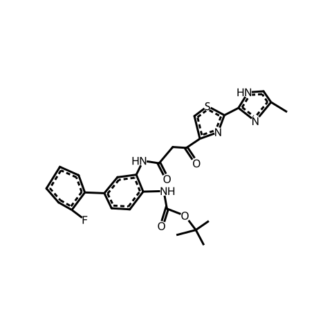 Cc1c[nH]c(-c2nc(C(=O)CC(=O)Nc3cc(-c4ccccc4F)ccc3NC(=O)OC(C)(C)C)cs2)n1